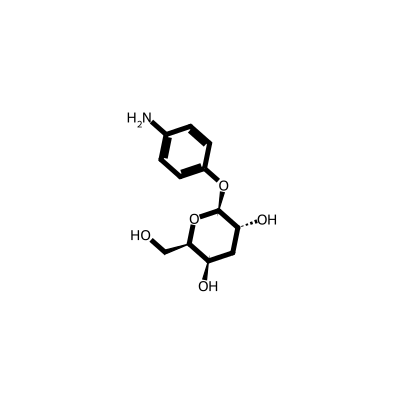 Nc1ccc(O[C@@H]2O[C@H](CO)[C@H](O)C[C@H]2O)cc1